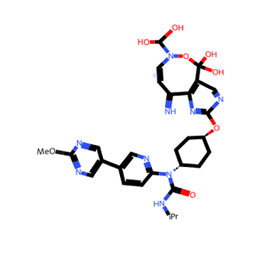 COc1ncc(-c2ccc(N(C(=O)NC(C)C)[C@H]3CC[C@H](Oc4ncc5c(n4)C(=N)/C=C\N(C(O)O)OC5(O)O)CC3)nc2)cn1